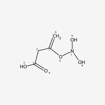 C=C(CC(=O)O)ON(O)O